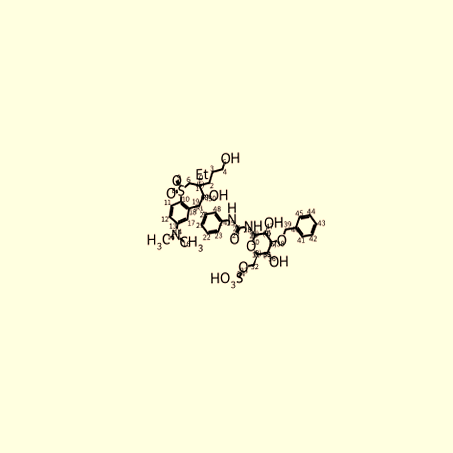 CC[C@@]1(CCCO)CS(=O)(=O)c2ccc(N(C)C)cc2[C@@H](c2cccc(NC(=O)N[C@@H]3O[C@H](COS(=O)(=O)O)[C@@H](O)[C@H](OCc4ccccc4)[C@H]3O)c2)[C@H]1O